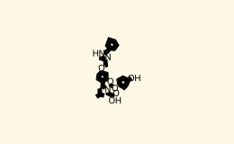 CC(C)C[C@@H](c1ccc(OCc2c[nH]c(-c3ccccc3)n2)cc1)N(CC(=O)O)C(=O)Oc1ccc(O)cc1